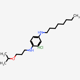 CCCCCCCCNc1ccc(NCCCOC(C)C)cc1.Cl